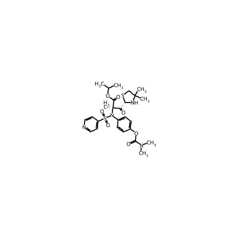 CC(C)OC(=O)[C@@](C)(C(=O)[C@H]1NC(C)(C)CS1)N(c1ccc(OC(=O)N(C)C)cc1)S(=O)(=O)c1ccncc1